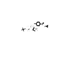 Cc1ccc(C(=O)NC2CC2)cc1-n1ncc(OC(=O)NCC(C)(C)C)c1N